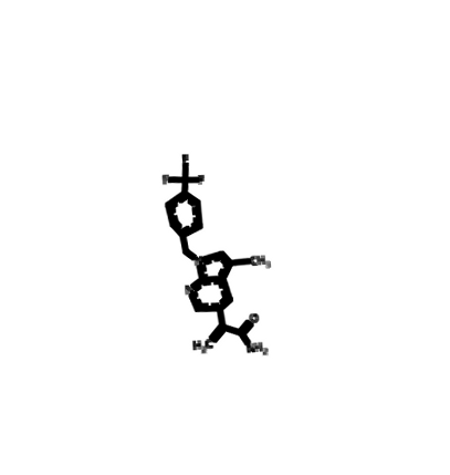 C=C(C(N)=O)c1cnc2c(c1)c(C)cn2Cc1ccc(C(F)(F)F)cc1